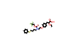 CCOC(Cc1ccc(OCCN(CCCCSc2ccccc2)C(=O)OCC(F)(F)F)cc1)C(=O)O